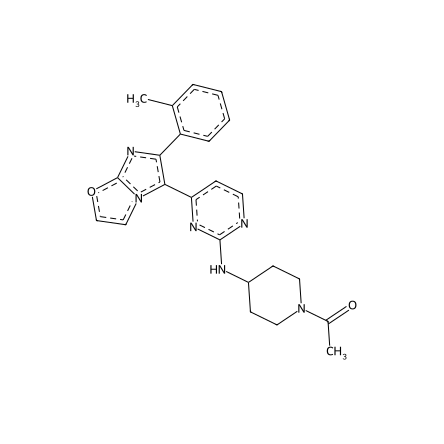 CC(=O)N1CCC(Nc2nccc(-c3c(-c4ccccc4C)nc4occn34)n2)CC1